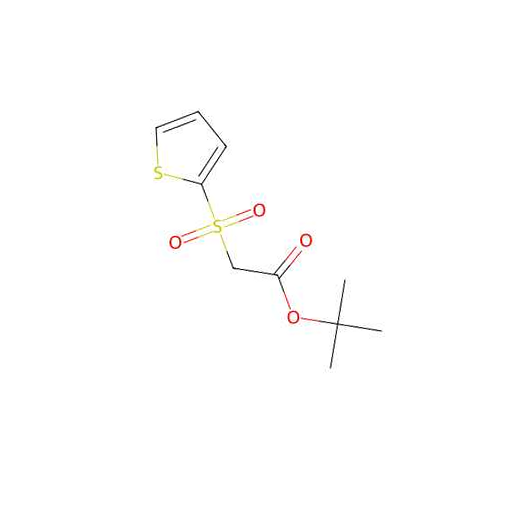 CC(C)(C)OC(=O)CS(=O)(=O)c1cccs1